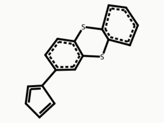 C1=CC=CC=1c1ccc2c(c1)Sc1ccccc1S2